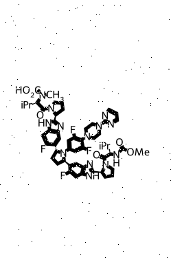 COC(=O)N[C@H](C(=O)N1CCC[C@H]1c1nc2cc([C@H]3CC[C@H](c4cc5nc([C@@H]6CCCN6C(=O)[C@H](C(C)C)N(C)C(=O)O)[nH]c5cc4F)N3c3cc(F)c(N4CCN(c5ncccn5)CC4)c(F)c3)c(F)cc2[nH]1)C(C)C